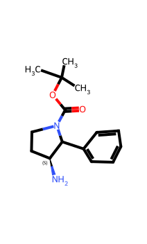 CC(C)(C)OC(=O)N1CC[C@H](N)C1c1ccccc1